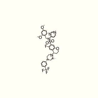 COc1ccc(CN(c2ccncn2)S(=O)(=O)c2cc3c(cc2F)C(N2CC[C@@H](c4cccc(C(F)(F)F)c4)C[C@H]2C)CCO3)c(OC)c1